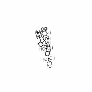 O=C1NC(=O)C(O)(O)C(O)(O)C1N1C(=O)c2cccc(NC(O)(O)c3ccc(C(O)(O)N4CCOCC4)cc3F)c2C1(O)O